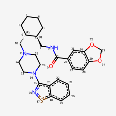 O=C(NC[C@@H]1CCCC[C@H]1CN1CCN(c2nsc3ccccc23)CC1)c1ccc2c(c1)OCO2